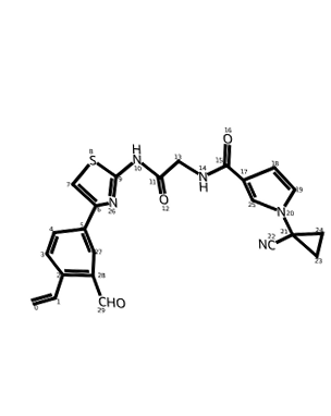 C=Cc1ccc(-c2csc(NC(=O)CNC(=O)c3ccn(C4(C#N)CC4)c3)n2)cc1C=O